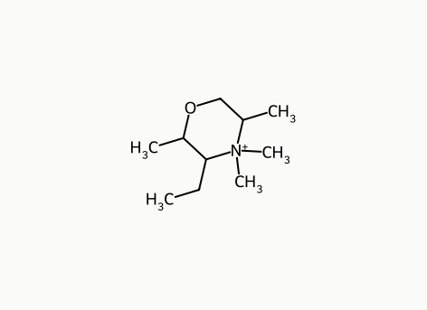 CCC1C(C)OCC(C)[N+]1(C)C